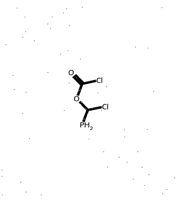 O=C(Cl)OC(P)Cl